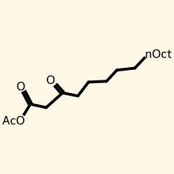 CCCCCCCCCCCCCC(=O)CC(=O)OC(C)=O